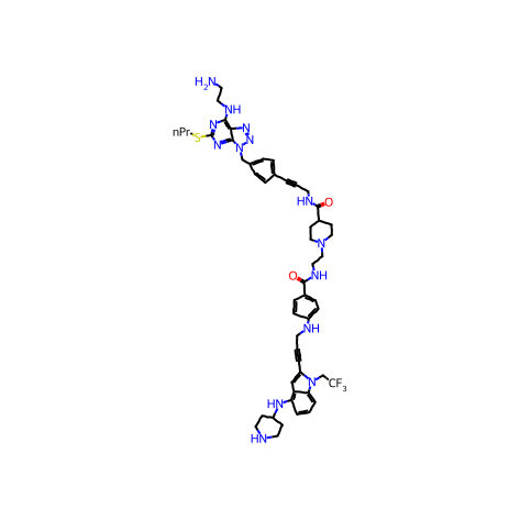 CCCSc1nc(NCCN)c2nnn(Cc3ccc(C#CCNC(=O)C4CCN(CCNC(=O)c5ccc(NCC#Cc6cc7c(NC8CCNCC8)cccc7n6CC(F)(F)F)cc5)CC4)cc3)c2n1